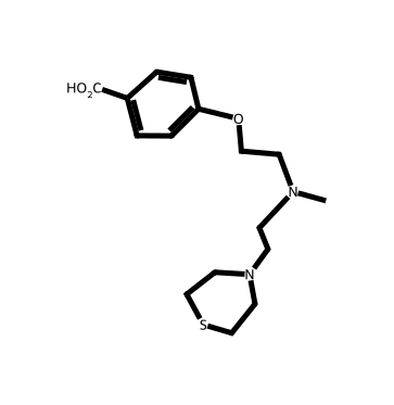 CN(CCOc1ccc(C(=O)O)cc1)CCN1CCSCC1